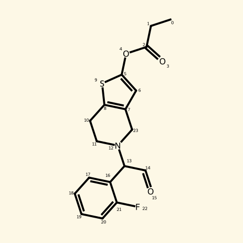 CCC(=O)Oc1cc2c(s1)CCN(C(C=O)c1ccccc1F)C2